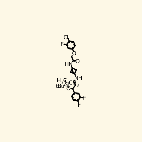 CC(C)(C)[Si](C)(C)OC(CCNC12CC(NC(=O)COc3ccc(Cl)c(F)c3)(C1)C2)c1ccc(F)c(F)c1